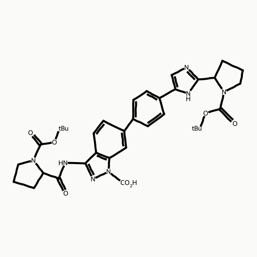 CC(C)(C)OC(=O)N1CCCC1C(=O)Nc1nn(C(=O)O)c2cc(-c3ccc(-c4cnc(C5CCCN5C(=O)OC(C)(C)C)[nH]4)cc3)ccc12